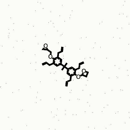 C=CCc1cc(C(C)(C)c2cc(CC=C)c(OC3CCO3)c(CC=C)c2)cc(CC=C)c1OCC1CO1